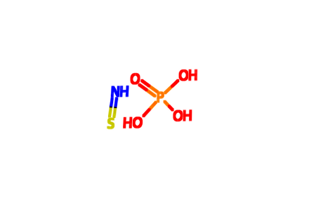 N=S.O=P(O)(O)O